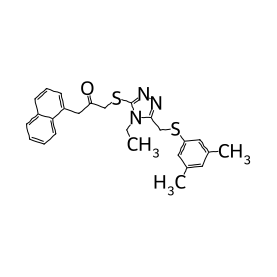 CCn1c(CSc2cc(C)cc(C)c2)nnc1SCC(=O)Cc1cccc2ccccc12